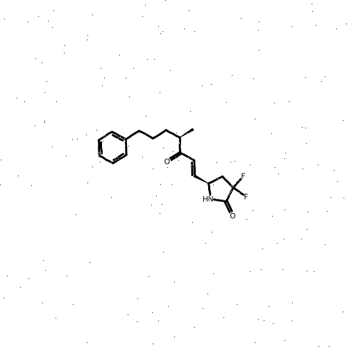 C[C@H](CCCc1ccccc1)C(=O)/C=C/[C@H]1CC(F)(F)C(=O)N1